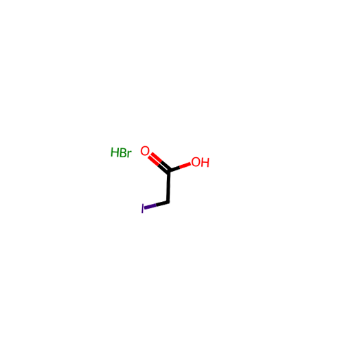 Br.O=C(O)CI